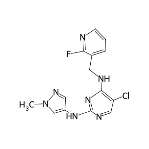 Cn1cc(Nc2ncc(Cl)c(NCc3cccnc3F)n2)cn1